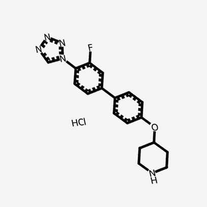 Cl.Fc1cc(-c2ccc(OC3CCNCC3)cc2)ccc1-n1cnnn1